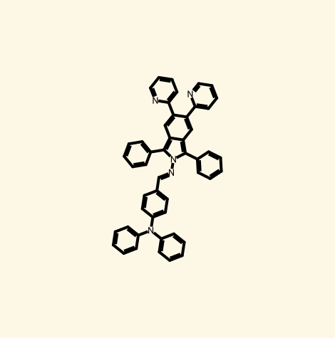 C(=Nn1c(-c2ccccc2)c2cc(-c3ccccn3)c(-c3ccccn3)cc2c1-c1ccccc1)c1ccc(N(c2ccccc2)c2ccccc2)cc1